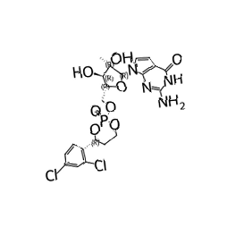 C[C@@]1(O)[C@H](O)[C@@H](COP2(=O)OCC[C@H](c3ccc(Cl)cc3Cl)O2)O[C@H]1n1ccc2c(=O)[nH]c(N)nc21